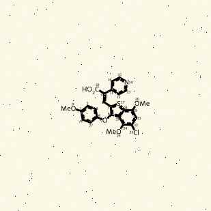 COc1ccc(Oc2c(C=C(C(=O)O)c3ccncc3)sc3c(OC)cc(Cl)c(OC)c23)cc1